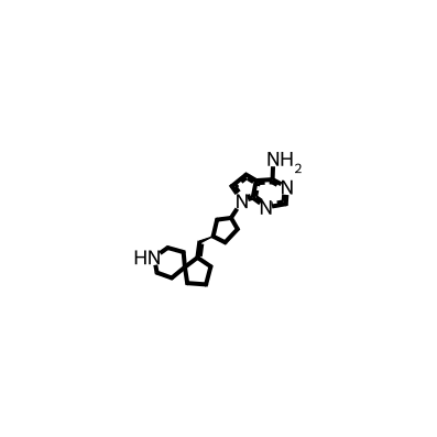 Nc1ncnc2c1ccn2C1CC[C@@H](/C=C2\CCCC23CCNCC3)C1